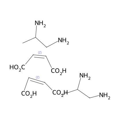 CC(N)CN.CC(N)CN.O=C(O)/C=C\C(=O)O.O=C(O)/C=C\C(=O)O